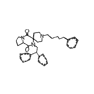 O=C1C2CCCN2C(=O)C2(CCN(CCCCCc3ccccc3)CC2)N1CC(c1ccccc1)c1ccccc1